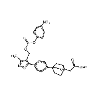 COC(=O)CC12CCC(c3ccc(-c4onc(C)c4COC(=O)Oc4ccc([N+](=O)[O-])cc4)cc3)(CC1)CO2